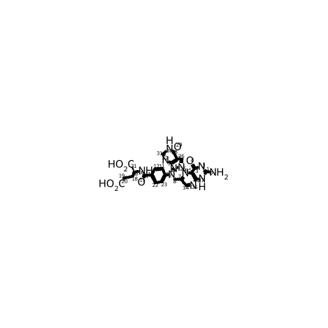 Nc1nc(=O)c2nc(CN(c3ccc(C(=O)N[C@@H](CCC(=O)O)C(=O)O)cc3)n3ncc4c(=O)[nH]cnc43)cnc2[nH]1